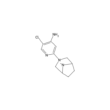 CN1C2CCC1CN(c1cc(N)c(Cl)cn1)C2